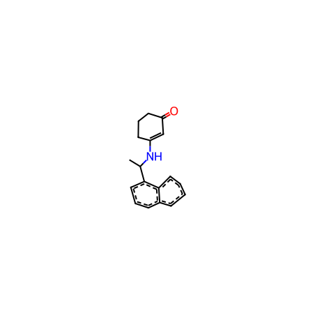 CC(NC1=CC(=O)CCC1)c1cccc2ccccc12